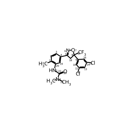 Cc1ccc(C2=NOC(c3cc(Cl)cc(Cl)c3)(C(F)(F)F)C2)cc1NC(=O)N(C)C